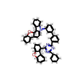 c1ccc(-c2nc(-c3cccc(-c4cccc(-n5c6ccccc6c6c7oc8ccccc8c7ccc65)c4)c3)nc(-c3cccc4oc5ccccc5c34)n2)cc1